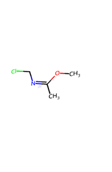 CO/C(C)=N\CCl